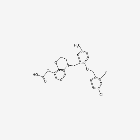 Cc1ccc(OCc2ccc(Cl)cc2F)c(CN2CCOc3c(OC(=O)O)cccc32)c1